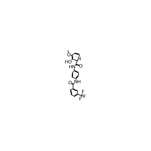 COc1ccnc(C(=O)Nc2ccc(NC(=O)c3cccc(C(F)(F)F)c3)cc2)c1O